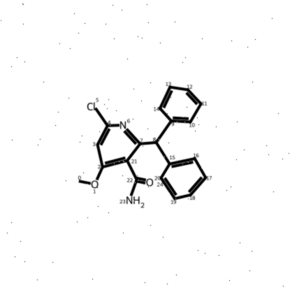 COc1cc(Cl)nc(C(c2ccccc2)c2ccccc2)c1C(N)=O